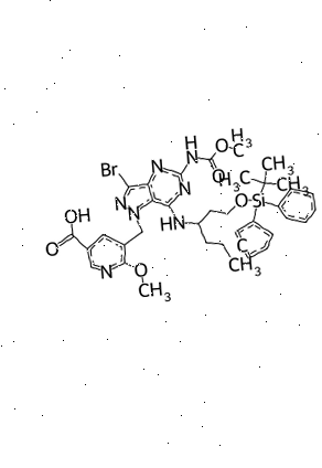 CCCC(CCO[Si](c1ccccc1)(c1ccccc1)C(C)(C)C)Nc1nc(NC(=O)OC)nc2c(Br)nn(Cc3cc(C(=O)O)cnc3OC)c12